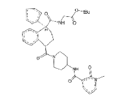 Cn1cccc(C(=O)NC2CCN(C(=O)C3CC[C@@](C(=O)NCC(=O)OC(C)(C)C)(c4ccccc4)c4ccccc43)CC2)c1=O